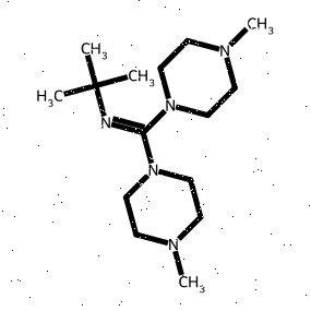 CN1CCN(C(=NC(C)(C)C)N2CCN(C)CC2)CC1